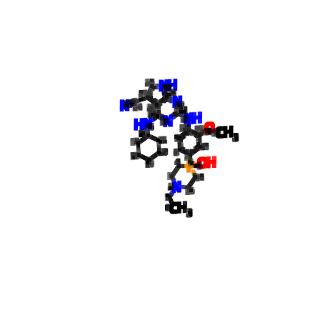 CCN1CC[P](O)(c2ccc(Nc3nc(NC4CCCCC4)c4c(C#N)c[nH]c4n3)c(OC)c2)CC1